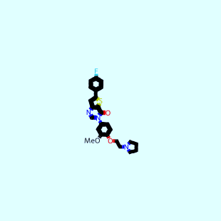 COc1cc(-n2cnc3cc(-c4ccc(F)cc4)sc3c2=O)ccc1OCCN1CCCC1